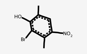 Cc1cc([N+](=O)[O-])c(C)c(Br)c1O